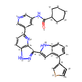 O=C(Nc1cncc(-c2ccc3[nH]nc(-c4cc5c(-c6ccsc6)cccc5[nH]4)c3n2)c1)C1CCCCC1